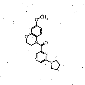 COc1ccc2c(c1)OCCN2C(=O)c1cncc(N2CCCC2)n1